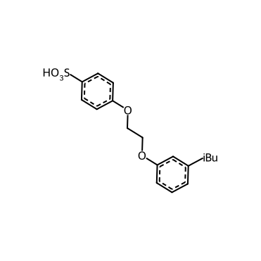 CCC(C)c1cccc(OCCOc2ccc(S(=O)(=O)O)cc2)c1